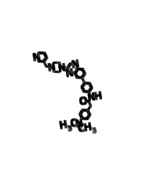 CN(C)c1ccc(CC(=O)Nc2ccc(-c3ccc4ncc(N5CCN(Cc6cccnc6)CC5)nc4c3)cc2)cc1